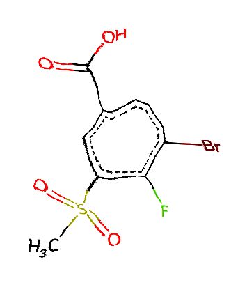 CS(=O)(=O)c1cc(C(=O)O)cc(Br)c1F